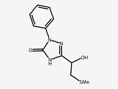 CSCC(O)c1nn(-c2ccccc2)c(=O)[nH]1